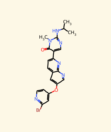 CC(C)Nc1ncc(-c2ccc3cc(Oc4ccnc(Br)c4)cnc3n2)c(=O)n1C